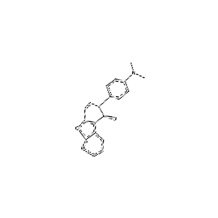 CN(C)c1ccc(C2C=Cc3oc4ccccc4c3C2=O)cc1